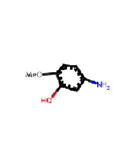 COc1c[c]c(N)cc1O